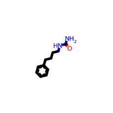 NC(=O)NCCCCc1ccccc1